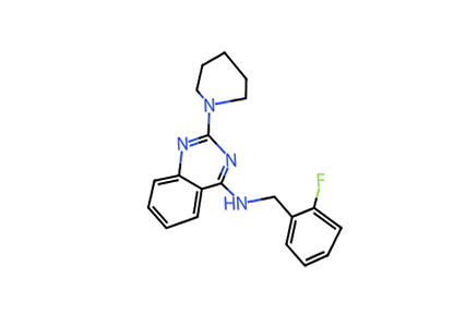 Fc1ccccc1CNc1nc(N2CCCCC2)nc2ccccc12